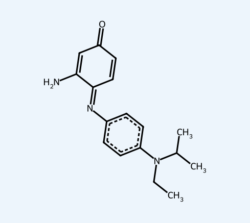 CCN(c1ccc(/N=C2\C=CC(=O)C=C2N)cc1)C(C)C